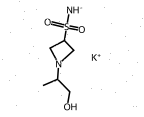 CC(CO)N1CC(S([NH-])(=O)=O)C1.[K+]